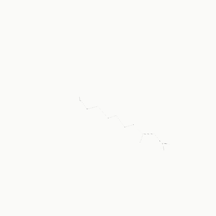 CNCC(I)CCCCCCI